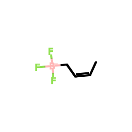 C/C=C\C[B-](F)(F)F